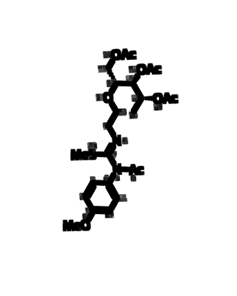 COc1ccc(N(C(C)=O)/C(=N/CCO[C@H](COC(C)=O)[C@@H](OC(C)=O)[C@@H](C)OC(C)=O)SC)cc1